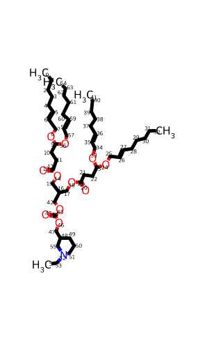 CCCCC/C=C/COC(CCC(=O)OCC(COC(=O)CCC(OC/C=C/CCCCC)OC/C=C/CCCCC)COC(=O)OCC1CCCN(CC)C1)OC/C=C/CCCCC